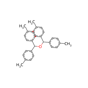 Cc1ccc(C(OC(c2ccc(C)cc2)c2ccc(C)cc2)c2ccc(C)cc2)cc1